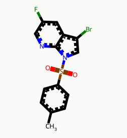 Cc1ccc(S(=O)(=O)n2cc(Br)c3cc(F)cnc32)cc1